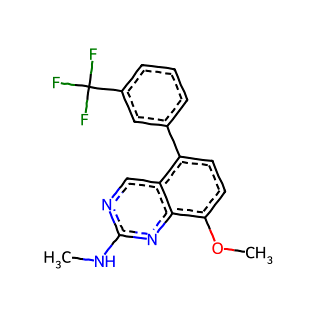 CNc1ncc2c(-c3cccc(C(F)(F)F)c3)ccc(OC)c2n1